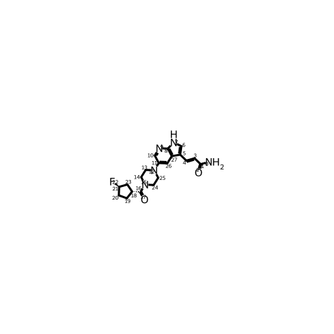 NC(=O)C=Cc1c[nH]c2ncc(N3CCN(C(=O)[C@@H]4CC[C@@H](F)C4)CC3)cc12